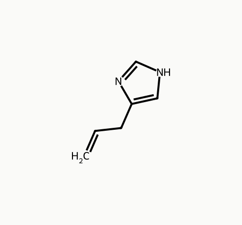 C=CCc1c[nH]cn1